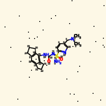 CN(C)Cc1ccc(S(N)(=O)=NC(=O)Nc2c3c(cc4c2CCC4)CCC3)nc1